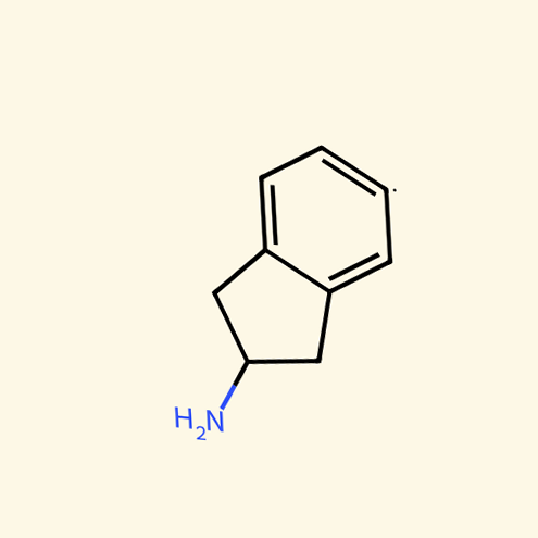 NC1Cc2c[c]ccc2C1